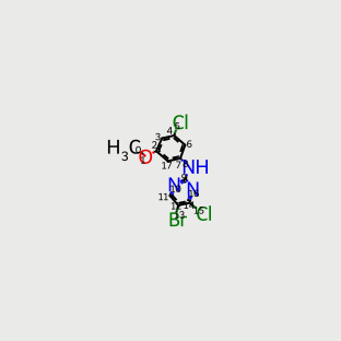 COc1cc(Cl)cc(Nc2ncc(Br)c(Cl)n2)c1